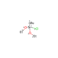 CCCC[Si](Cl)(OCC)OCC